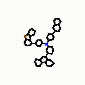 c1cc(-c2cc3ccccc3c3ccccc23)cc(N(c2ccc(-c3ccc4ccccc4c3)cc2)c2ccc(-c3cccc4sc5ccccc5c34)cc2)c1